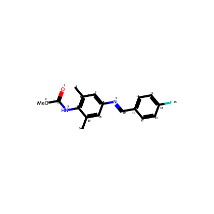 COC(=O)Nc1c(C)cc(/N=C/c2ccc(F)cc2)cc1C